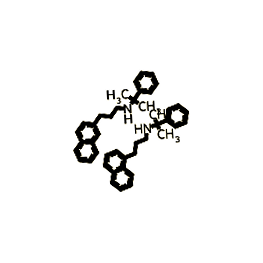 CC(C)(NCCCc1ccc2ccccc2c1)c1ccccc1.CC(C)(NCCCc1cccc2ccccc12)c1ccccc1